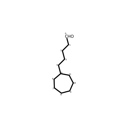 O=CCCCCC1CCCCCC1